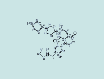 O=c1ccn(-c2ccc(CN3CCCC3)c(F)c2)c2c(Cl)c(N3CCN(c4ccc(F)cc4)CC3)c(F)cc12